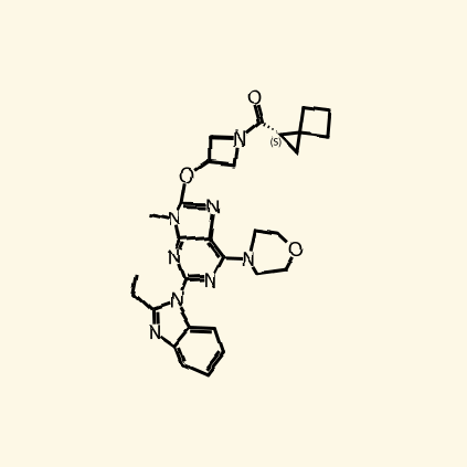 CCc1nc2ccccc2n1-c1nc(N2CCOCC2)c2nc(OC3CN(C(=O)[C@H]4CC45CCC5)C3)n(C)c2n1